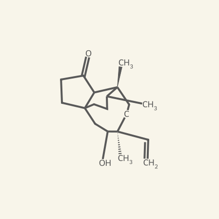 C=C[C@]1(C)CC[C@]2(C)C(C)CCC3(CCC(=O)C32)CC1O